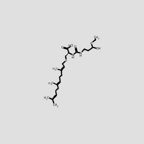 CCOC(O)CCNC(=O)N[C@@H](CSC/C=C(\C)CC/C=C(\C)CCC=C(C)C)C(=O)O